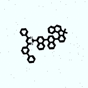 CC1(C)c2cccc(-c3ccc(-c4ccc(-c5nc(-c6ccccc6)cc(-c6cccc(-c7ccccc7)c6)n5)c5ccccc45)c4ccccc34)c2-c2c1ccc1ccccc21